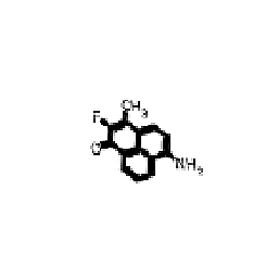 CC1=C(F)C(=O)c2cccc3c(N)ccc1c23